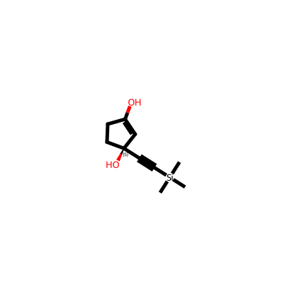 C[Si](C)(C)C#C[C@@]1(O)C=C(O)CC1